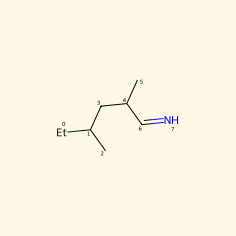 CCC(C)CC(C)C=N